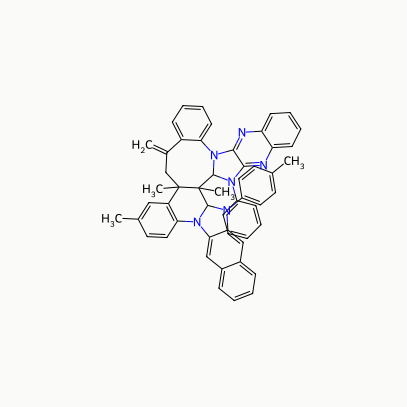 C=C1CC2(C)c3cc(C)ccc3N3c4cc5ccccc5cc4N(c4ccc(C)cc4)C3C2(C)C2N(c3ccccc3)c3nc4ccccc4nc3N2c2ccccc21